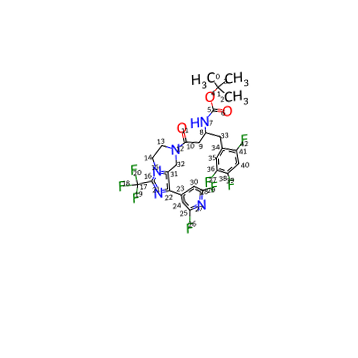 CC(C)(C)OC(=O)NC(CC(=O)N1CCn2c(C(F)(F)F)nc(-c3cc(F)nc(F)c3)c2C1)Cc1cc(F)c(F)cc1F